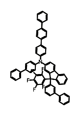 Fc1c(F)c(F)c(C2(c3cccc(-c4ccccc4)c3)c3ccccc3-c3ccc(N(c4ccc(-c5ccccc5)cc4)c4ccc(-c5ccc(-c6ccccc6)cc5)cc4)cc32)c(F)c1F